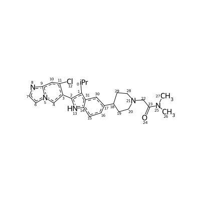 CC(C)c1c(-c2cn3ccnc3cc2Cl)[nH]c2ccc(C3CCN(CC(=O)N(C)C)CC3)cc12